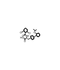 CC(C)Oc1ccccc1-c1ccc(C[C@H](NC(=O)c2c(Cl)cccc2Cl)C(=O)O)cc1